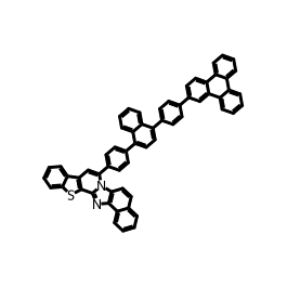 c1ccc2c(c1)ccc1c2nc2c3sc4ccccc4c3cc(-c3ccc(-c4ccc(-c5ccc(-c6ccc7c8ccccc8c8ccccc8c7c6)cc5)c5ccccc45)cc3)n12